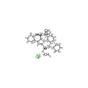 CCCC1=Cc2c(ccc3ccccc23)C1c1c([SiH](C)C)ccc2c1[CH]([Zr+2])c1ccccc1-2.[Cl-].[Cl-]